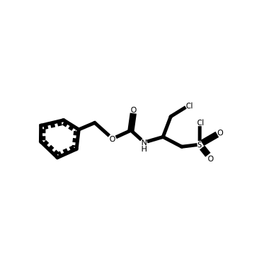 O=C(NC(CCl)CS(=O)(=O)Cl)OCc1ccccc1